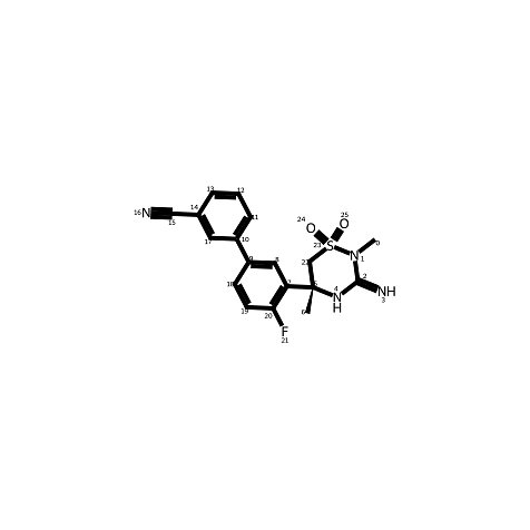 CN1C(=N)N[C@](C)(c2cc(-c3cccc(C#N)c3)ccc2F)CS1(=O)=O